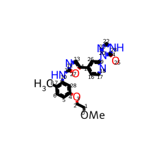 COCCOc1ccc(C)c(Nc2ncc(-c3ccnc(-n4nc[nH]c4=O)c3)o2)c1